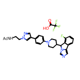 CC(=O)NCCn1cc(-c2ccc(N3CCC(C4c5c(F)cccc5-c5cncn54)CC3)cc2)cn1.O=C(O)C(F)(F)F